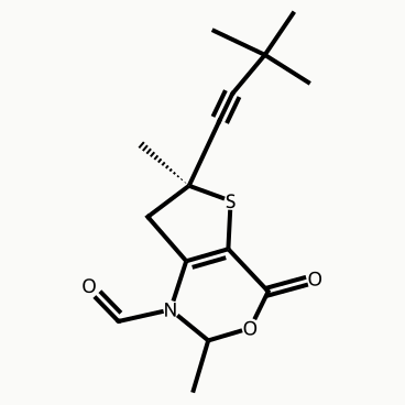 CC1OC(=O)C2=C(C[C@@](C)(C#CC(C)(C)C)S2)N1C=O